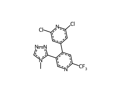 Cn1cnnc1-c1cnc(C(F)(F)F)cc1-c1cc(Cl)nc(Cl)c1